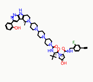 C#Cc1ccc(CNC(=O)[C@@H]2C[C@@H](O)CN2C(=O)[C@@H](NC(=O)N2CCC(N3CCC(N4CCC(N5CCc6[nH]c7nnc(-c8ccccc8O)cc7c6[C@@H]5C)CC4)CC3)CC2)C(C)(C)C)c(F)c1